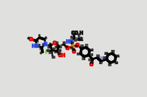 C=C1NC(=O)C=CN1[C@@H]1O[C@H](COP(=O)(N[C@@H](CC)C(=O)O)Oc2ccc(C(=O)/C=C/c3ccccc3)cc2)[C@@H](O)[C@@]1(C)F